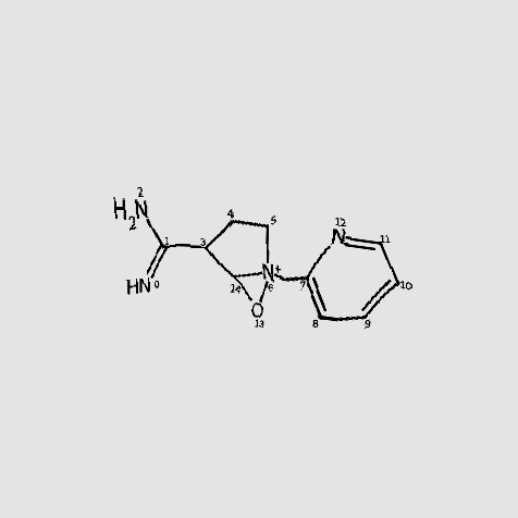 N=C(N)C1CC[N+]2(c3ccccn3)OC12